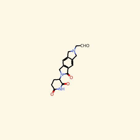 O=CCN1Cc2cc3c(cc2C1)C(=O)N(C1CCC(=O)NC1=O)C3